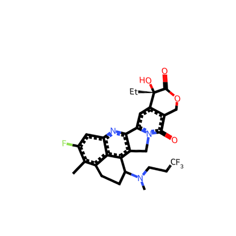 CC[C@@]1(O)C(=O)OCc2c1cc1n(c2=O)Cc2c-1nc1cc(F)c(C)c3c1c2C(N(C)CCC(F)(F)F)CC3